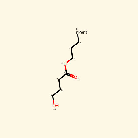 CCCCCCCCOC(=O)CCCO